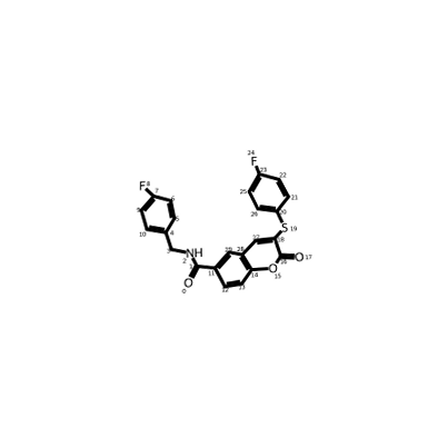 O=C(NCc1ccc(F)cc1)c1ccc2oc(=O)c(Sc3ccc(F)cc3)cc2c1